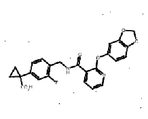 O=C(NCc1ccc(C2(C(=O)O)CC2)cc1F)c1cccnc1Oc1ccc2c(c1)OCO2